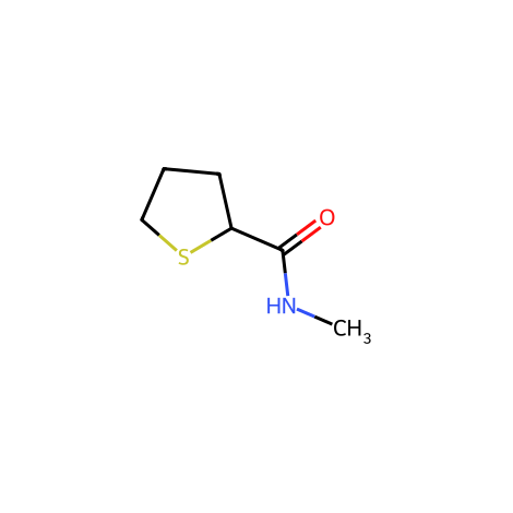 CNC(=O)C1CCCS1